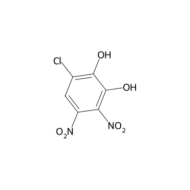 O=[N+]([O-])c1cc(Cl)c(O)c(O)c1[N+](=O)[O-]